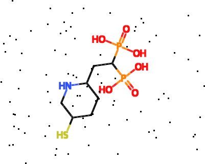 O=P(O)(O)C(CC1CCC(S)CN1)P(=O)(O)O